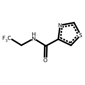 O=C(NCC(F)(F)F)c1cscn1